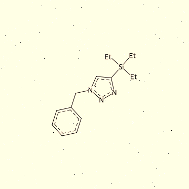 CC[Si](CC)(CC)c1cn(Cc2ccccc2)nn1